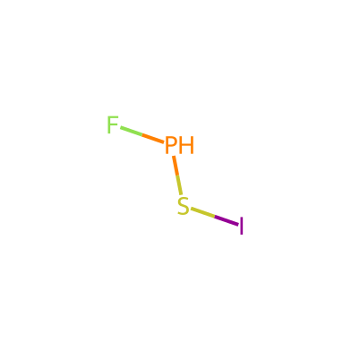 FPSI